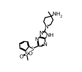 CC1(N)CCN(c2nc3nc(Sc4ccccc4S(C)(=O)=O)cnc3[nH]2)CC1